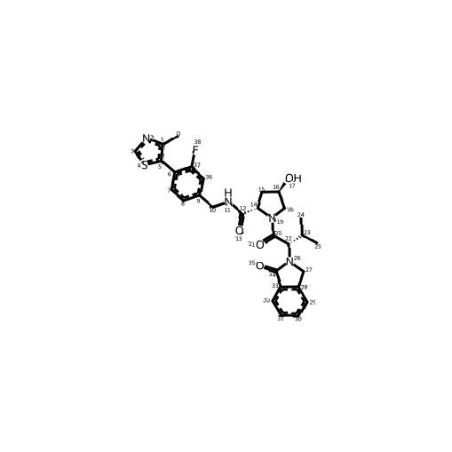 Cc1ncsc1-c1ccc(CNC(=O)[C@@H]2C[C@@H](O)CN2C(=O)[C@H](C(C)C)N2Cc3ccccc3C2=O)cc1F